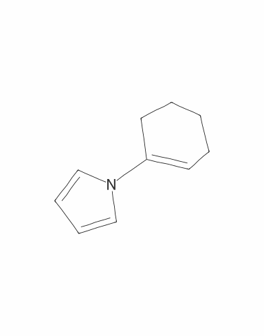 C1=C(n2cccc2)CCCC1